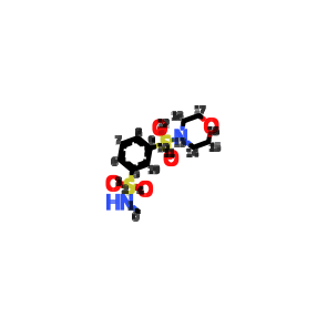 CNS(=O)(=O)c1cccc(S(=O)(=O)N2CCOCC2)c1